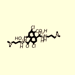 CN(C)CCCNNC(=O)c1cc(Cl)c(C(=O)NNCCCN(C)C)c2c(C(=O)O)cc(Cl)c(C(=O)O)c12